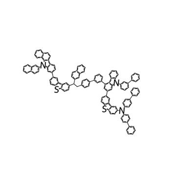 c1ccc(-c2ccc(N(c3ccc(-c4ccccc4)cc3)c3ccc4sc5ccc(-c6cc(-c7cccc(-c8ccc(CC(c9ccc%10ccccc%10c9)c9ccc%10sc%11ccc(-c%12ccc%13c%14ccc%15ccccc%15c%14n(-c%14ccc%15ccccc%15c%14)c%13c%12)cc%11c%10c9)cc8)c7)c7c8ccccc8n(-c8cccc(-c9ccccc9)c8)c7c6)cc5c4c3)cc2)cc1